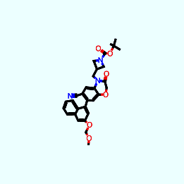 COCOc1cc(-c2cc3c(cc2C#N)N(CC2CN(C(=O)OC(C)(C)C)C2)C(=O)CO3)c2ccccc2c1